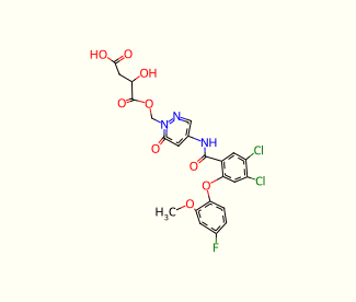 COc1cc(F)ccc1Oc1cc(Cl)c(Cl)cc1C(=O)Nc1cnn(COC(=O)C(O)CC(=O)O)c(=O)c1